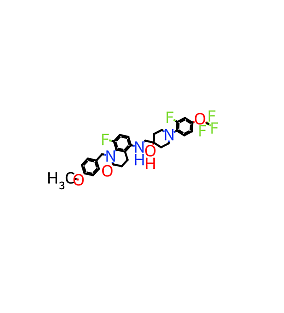 COc1ccc(CN2C(=O)CCc3c(NCC4(O)CCN(c5ccc(OC(F)(F)F)cc5F)CC4)ccc(F)c32)cc1